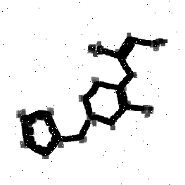 CCC/C=C(/C)CC1=C(CC)CN(Cc2ccsc2)CC1